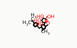 Cc1cc2c(cc1Cc1ccc(C(C)C)cc1)[C@]1(OC2)O[C@H](CO)[C@@H](O)[C@H](O)[C@H]1O